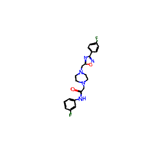 O=C(CN1CCN(Cc2nc(-c3ccc(F)cc3)no2)CC1)Nc1cccc(F)c1